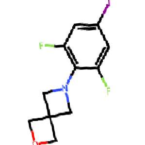 Fc1cc(I)cc(F)c1N1CC2(COC2)C1